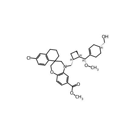 COC(=O)c1ccc2c(c1)N(C[C@@H]1CC[C@H]1[C@@H](OC)C1=CC[C@H](CO)CC1)CC1(CCCc3cc(Cl)ccc31)CO2